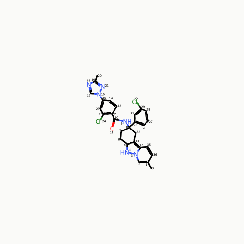 CC1=CN2NC3CCC(NC(=O)c4ccc(-n5cnc(C)n5)cc4Cl)(c4cccc(Cl)c4)CC3=C2C=C1